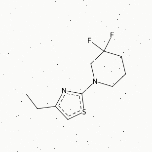 CCc1csc(N2CCCC(F)(F)C2)n1